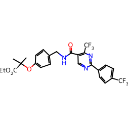 CCOC(=O)C(C)(C)Oc1ccc(CNC(=O)c2cnc(-c3ccc(C(F)(F)F)cc3)nc2C(F)(F)F)cc1